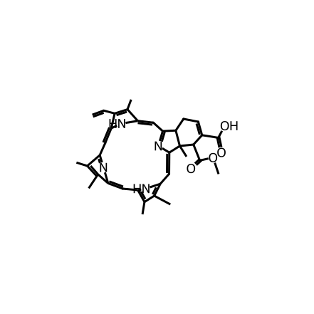 C=Cc1c(C)c2cc3nc(cc4[nH]c(cc5nc(cc1[nH]2)C(C)=C5C)c(C)c4C)C1(C)C(C(=O)OC)C(C(=O)O)=CCC31